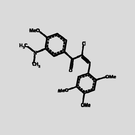 COc1cc(OC)c(OC)cc1/C=C(/Cl)C(=O)c1ccc(OC)c(N(C)C)c1